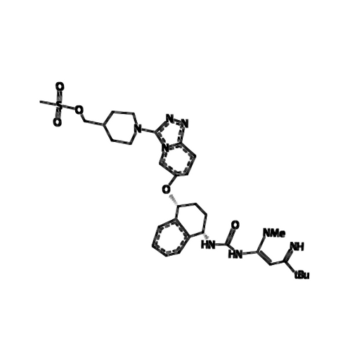 CN/C(=C\C(=N)C(C)(C)C)NC(=O)N[C@H]1CC[C@@H](Oc2ccc3nnc(N4CCC(COS(C)(=O)=O)CC4)n3c2)c2ccccc21